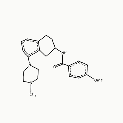 COc1ccc(C(=O)NC2CCc3cccc(N4CCN(C)CC4)c3C2)cc1